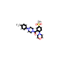 CCCS(=O)(=O)c1ccc(N2CCOCC2)c(C(=O)N2CCN(c3ccc(C(F)(F)F)cc3)CC2)c1